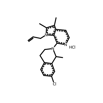 C=CCn1c(C)c(C)c2ccnc(N3CCc4ccc(Cl)cc4C3C)c21.Cl